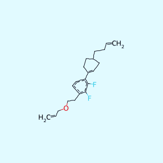 C=CCCC1CC=C(c2ccc(CCOCC=C)c(F)c2F)CC1